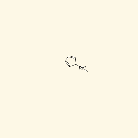 [CH3][Rh+][CH]1C=CC=C1